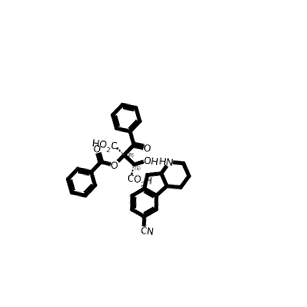 N#Cc1ccc2c(c1)C1CCCNC1C2.O=C(O[C@@](C(=O)O)(C(=O)c1ccccc1)[C@H](O)C(=O)O)c1ccccc1